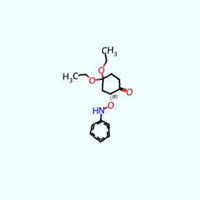 CCOC1(OCC)CCC(=O)[C@H](ONc2ccccc2)C1